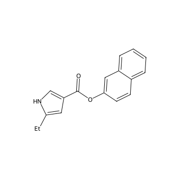 CCc1cc(C(=O)Oc2ccc3ccccc3c2)c[nH]1